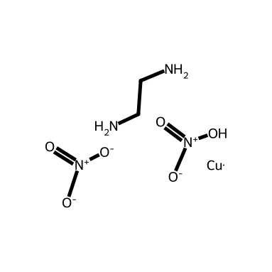 NCCN.O=[N+]([O-])O.O=[N+]([O-])[O-].[Cu]